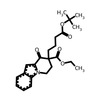 CCOC(=O)C1(CCCC(=O)OC(C)(C)C)CCn2c(cc3ccccc32)C1=O